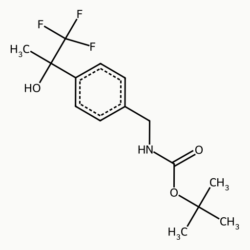 CC(C)(C)OC(=O)NCc1ccc(C(C)(O)C(F)(F)F)cc1